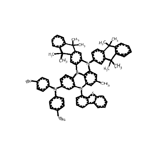 Cc1cc2c3c(c1)N(c1cccc4c1sc1ccccc14)c1cc(N(c4ccc(C(C)(C)C)cc4)c4ccc(C(C)(C)C)cc4)ccc1B3c1cc3c(cc1N2c1ccc2c(c1)C(C)(C)c1ccccc1C2(C)C)C(C)(C)c1ccccc1C3(C)C